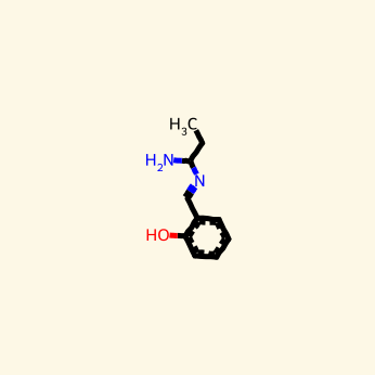 CCC(N)N=Cc1ccccc1O